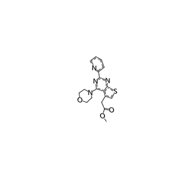 COC(=O)Cc1csc2nc(-c3ccccn3)nc(N3CCOCC3)c12